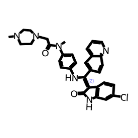 CN1CCN(CC(=O)N(C)c2ccc(N/C(=C3\C(=O)Nc4cc(Cl)ccc43)c3ccc4ncccc4c3)cc2)CC1